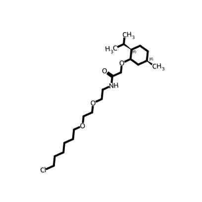 CC(C)[C@H]1CC[C@@H](C)CC1OCC(=O)NCCOCCOCCCCCCCl